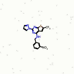 O=[N+]([O-])c1cccc(CNc2nc(-n3cccn3)nc3sc(C(F)(F)F)cc23)c1